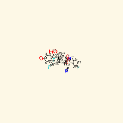 C[C@]12C=CC(=O)C=C1[C@@H](F)C[C@H]1[C@@H]3C[C@H]4CN(Cc5ccc(F)cc5)O[C@@]4(C(=O)OCC#N)[C@@]3(C)C[C@H](O)[C@@]12F